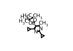 Cc1nc(C2CC2)nc(C2CC2)c1B1OC(C)(C)C(C)(C)O1